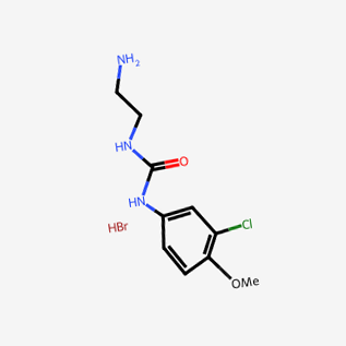 Br.COc1ccc(NC(=O)NCCN)cc1Cl